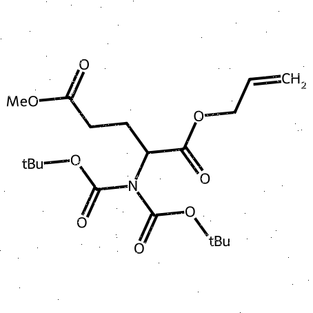 C=CCOC(=O)C(CCC(=O)OC)N(C(=O)OC(C)(C)C)C(=O)OC(C)(C)C